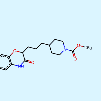 CC(C)(C)OC(=O)N1CCC(CCCC2Oc3ccccc3NC2=O)CC1